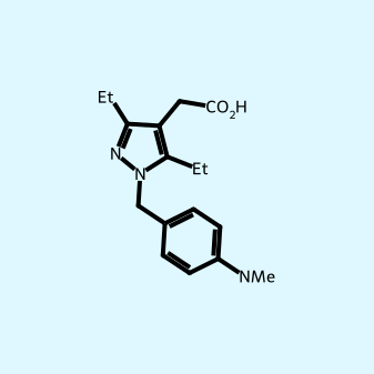 CCc1nn(Cc2ccc(NC)cc2)c(CC)c1CC(=O)O